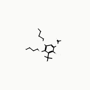 CCCCOc1cc(OC(=O)O)c(O)c(C(C)(C)C)c1OCCCC